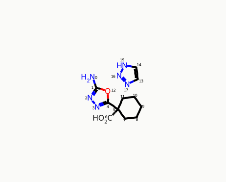 Nc1nnc(C2(C(=O)O)CCCCC2)o1.c1c[nH]nn1